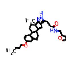 CCCCOc1ccc2c(c1)CCC1C2CC[C@]2(C)c3n[nH]c(CCC(=O)NCC4CCCO4)c3CC12